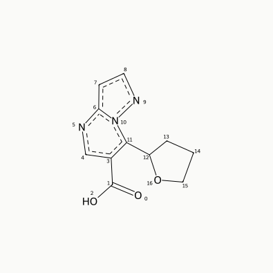 O=C(O)c1cnc2ccnn2c1C1CCCO1